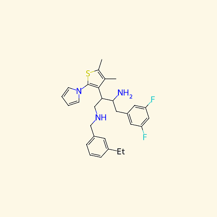 CCc1cccc(CNCC(c2c(-n3cccc3)sc(C)c2C)C(N)Cc2cc(F)cc(F)c2)c1